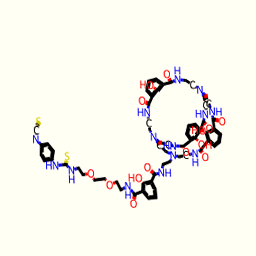 O=C(NCCOCCOCCNC(=S)Nc1ccc(N=C=S)cc1)c1cccc(C(=O)NCCN2CCNC(=O)c3cccc(c3O)C(=O)NCCN3CCNC(=O)c4cccc(c4O)C(=O)NCCN(CCNC(=O)c4cccc(c4O)C(=O)NCC3)CC2)c1O